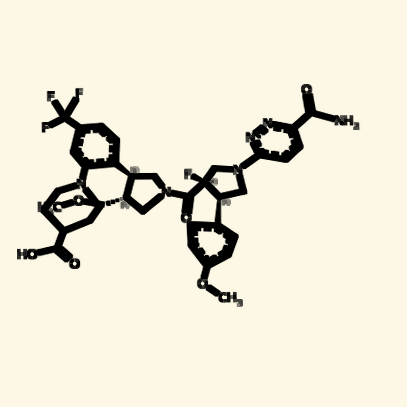 COC[C@H]1CN(C(=O)[C@]2(F)CN(c3ccc(C(N)=O)nn3)C[C@H]2c2ccc(OC)cc2)C[C@@H]1c1ccc(C(F)(F)F)cc1N1CCC(C(=O)O)CC1